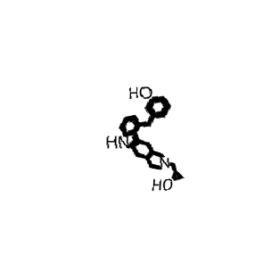 Oc1cccc(Cc2cccc3[nH]c4c(c23)CC2CN(CC3CC3O)CCC2C4)c1